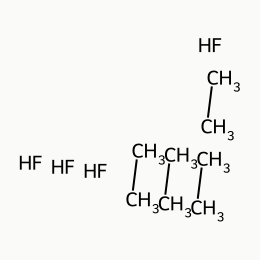 CC.CC.CC.CC.F.F.F.F